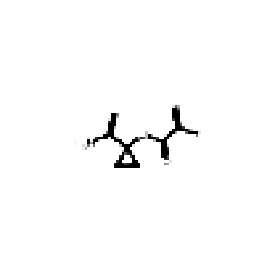 C=C(C)C(=O)OC1(C(=C)N)CC1